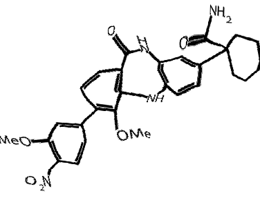 COc1cc(-c2ccc3c(c2OC)Nc2ccc(C4(C(N)=O)CCCCC4)cc2NC3=O)ccc1[N+](=O)[O-]